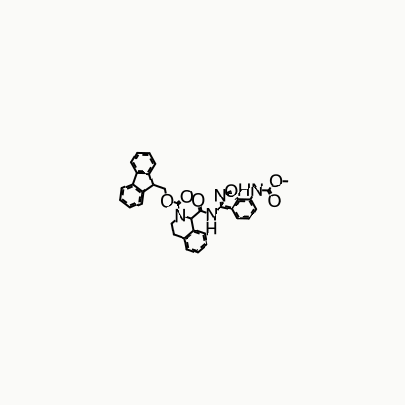 COC(=O)Nc1cccc2c(NC(=O)C3c4ccccc4CCN3C(=O)OCC3c4ccccc4-c4ccccc43)noc12